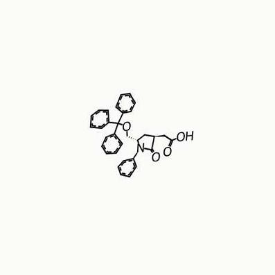 O=C(O)C[C@@H]1C[C@@H](COC(c2ccccc2)(c2ccccc2)c2ccccc2)N(c2ccccc2)C1=O